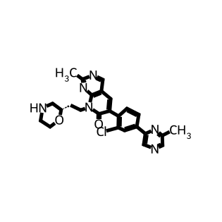 Cc1cncc(-c2ccc(-c3cc4cnc(C)nc4n(CC[C@H]4CNCCO4)c3=O)c(Cl)c2)n1